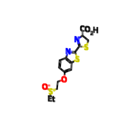 CC[S+]([O-])CCOc1ccc2nc(C3=NC(C(=O)O)CS3)sc2c1